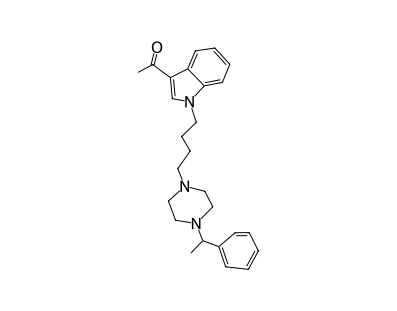 CC(=O)c1cn(CCCCN2CCN(C(C)c3ccccc3)CC2)c2ccccc12